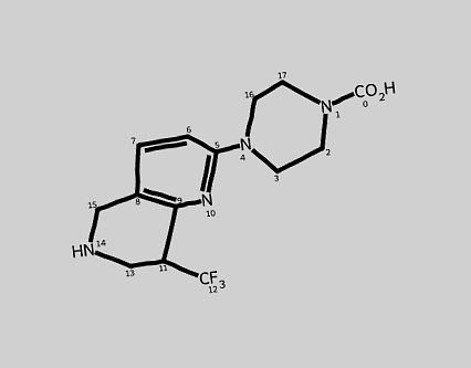 O=C(O)N1CCN(c2ccc3c(n2)C(C(F)(F)F)CNC3)CC1